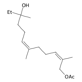 CCC(C)(O)CCC=C(C)CCC=C(C)COC(C)=O